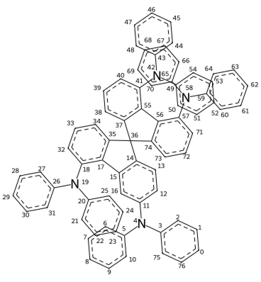 c1ccc(N(c2ccccc2)c2ccc3c(c2)-c2c(N(c4ccccc4)c4ccccc4)cccc2C32c3cccc(N(c4ccccc4)c4ccccc4)c3-c3c(N(c4ccccc4)c4ccccc4)cccc32)cc1